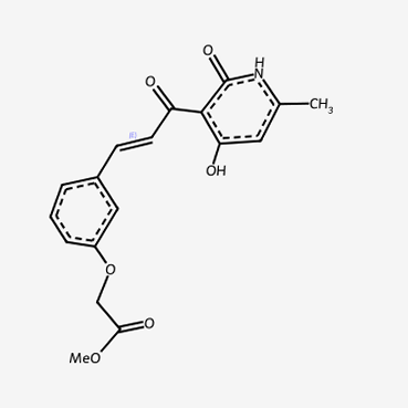 COC(=O)COc1cccc(/C=C/C(=O)c2c(O)cc(C)[nH]c2=O)c1